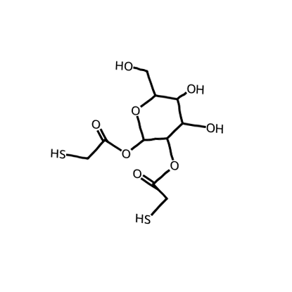 O=C(CS)OC1OC(CO)C(O)C(O)C1OC(=O)CS